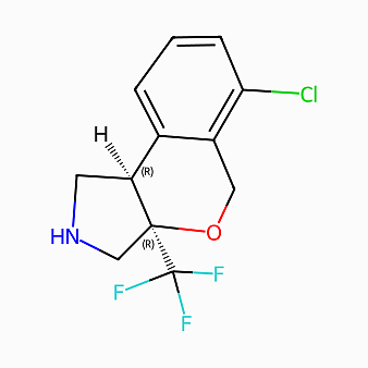 FC(F)(F)[C@]12CNC[C@H]1c1cccc(Cl)c1CO2